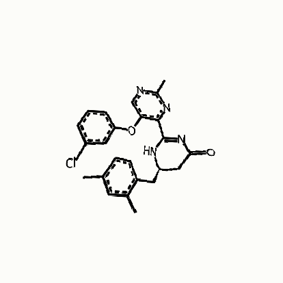 Cc1ccc(C[C@@H]2CC(=O)N=C(c3nc(C)ncc3Oc3cccc(Cl)c3)N2)c(C)c1